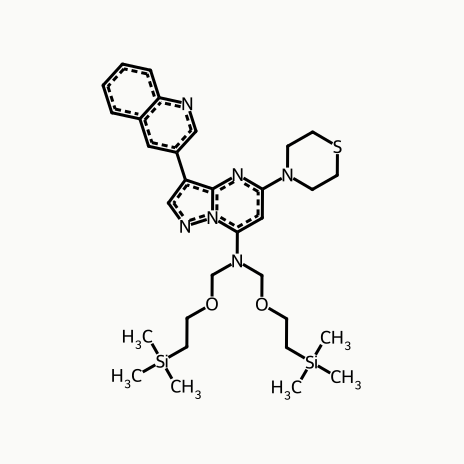 C[Si](C)(C)CCOCN(COCC[Si](C)(C)C)c1cc(N2CCSCC2)nc2c(-c3cnc4ccccc4c3)cnn12